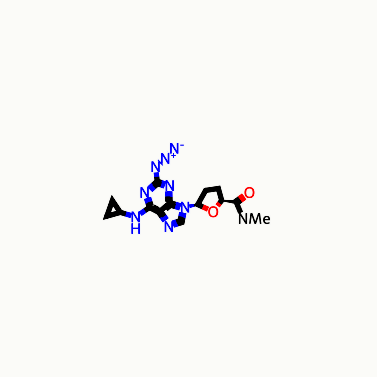 CNC(=O)[C@@H]1CC[C@H](n2cnc3c(NC4CC4)nc(N=[N+]=[N-])nc32)O1